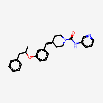 CC(Cc1ccccc1)Oc1cccc(C=C2CCN(C(=O)Nc3cccnc3)CC2)c1